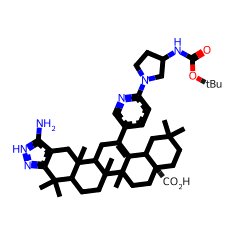 CC1(C)CCC2(C(=O)O)CCC3(C)C(=C(c4ccc(N5CCC(NC(=O)OC(C)(C)C)C5)nc4)CC4C5(C)Cc6c(n[nH]c6N)C(C)(C)C5CCC43C)C2C1